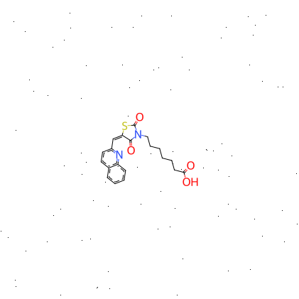 O=C(O)CCCCCCN1C(=O)SC(=Cc2ccc3ccccc3n2)C1=O